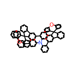 c1ccc(-c2cccc(-c3ccc(N(c4ccccc4-c4ccc5c(c4)-c4ccccc4C54c5ccccc5Oc5ccccc54)c4ccccc4-c4ccc5c(c4)-c4ccccc4C54c5ccccc5Oc5ccccc54)cc3)c2)cc1